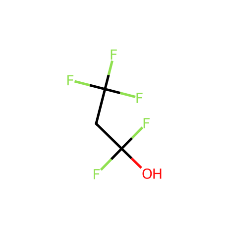 OC(F)(F)CC(F)(F)F